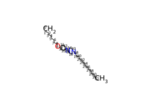 C=CCCCCCCCOc1ccc(N2CCN(CCCCCCCCCCCCCCC)CC2)cc1